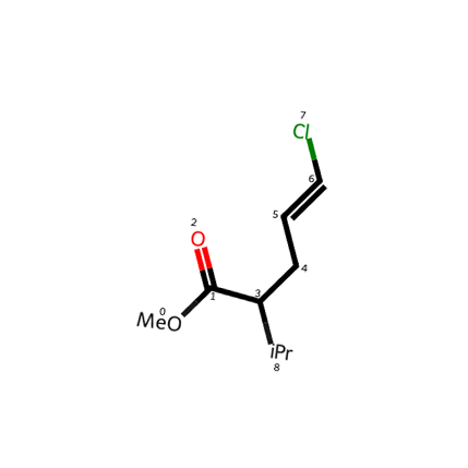 COC(=O)C(C/C=C/Cl)C(C)C